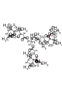 C=C1OC(CC(=O)OCC(COC(=O)CC2O[C@@H]3O[C@@]4(C)CC[C@H]5[C@H](C)CC[C@@H]([C@H]2C)[C@@]35OO4)(COC(=O)CC2OC[C@@H]3O[C@@]4(C)CC[C@H]5[C@H](C)CC[C@@H]([C@H]2C)[C@@]35OO4)NC(C)=O)[C@H](C)[C@@H]2CC[C@@H](C)[C@@H]3CC[C@](C)(OC)OO[C@]132